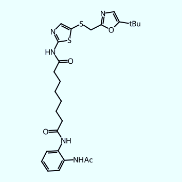 CC(=O)Nc1ccccc1NC(=O)CCCCCCC(=O)Nc1ncc(SCc2ncc(C(C)(C)C)o2)s1